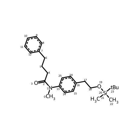 CN(C(=O)CCCc1ccccc1)c1ccc(CCO[Si](C)(C)C(C)(C)C)cc1